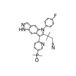 CC(C)(CC#N)c1c(-c2ccc(P(C)(C)=O)cn2)c2cc3[nH]ncc3cc2n1-c1ccc(F)cc1